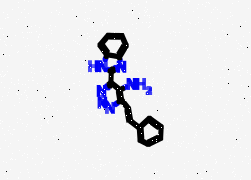 Nc1c(C=Cc2ccccc2)nnnc1-c1nc2ccccc2[nH]1